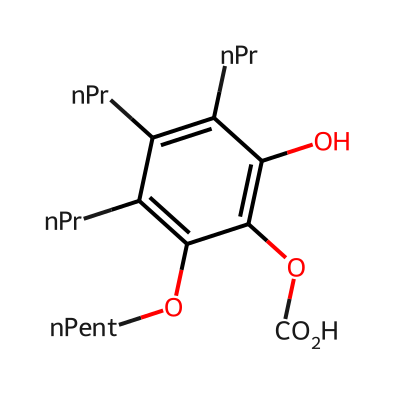 CCCCCOc1c(CCC)c(CCC)c(CCC)c(O)c1OC(=O)O